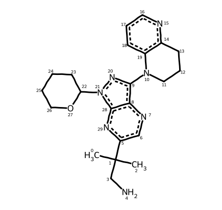 CC(C)(CN)c1cnc2c(N3CCCc4ncccc43)nn(C3CCCCO3)c2n1